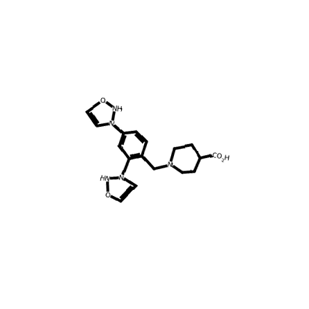 O=C(O)C1CCN(Cc2ccc(N3C=CON3)cc2N2C=CON2)CC1